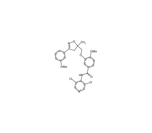 COc1cccc(C2=NOC(C)(COc3cc(C(=O)Nc4c(Cl)cncc4Cl)ccc3OC)C2)c1